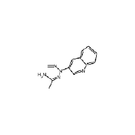 C=NN(/N=C(/C)N)c1cnc2ccccc2c1